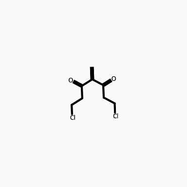 C=C(C(=O)CCCl)C(=O)CCCl